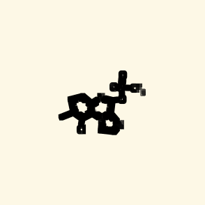 Cc1ccc2nc(OS(=O)(=O)C(F)(F)F)c3nccn3c2c1Cl